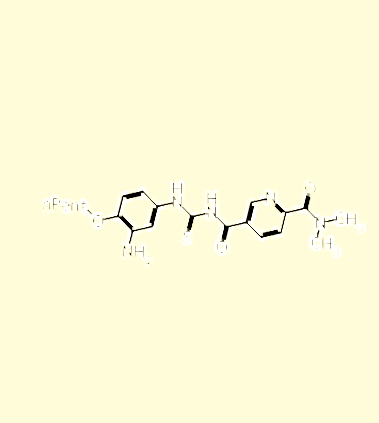 CCCCCOc1ccc(NC(=S)NC(=O)c2ccc(C(=O)N(C)C)nc2)cc1N